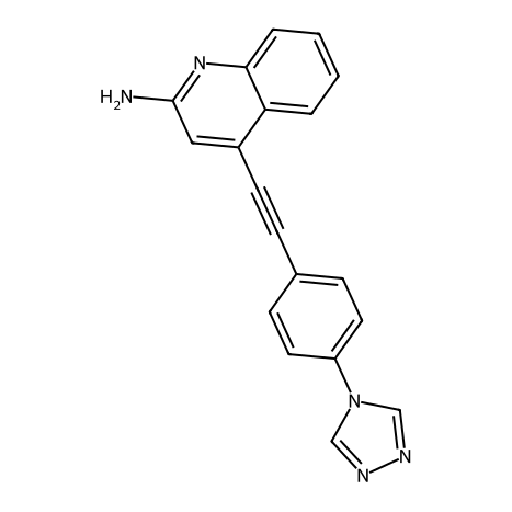 Nc1cc(C#Cc2ccc(-n3cnnc3)cc2)c2ccccc2n1